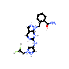 NC(=O)c1ccccc1Cn1ncc2cnc(Nc3cnn(CC(F)F)c3)nc21